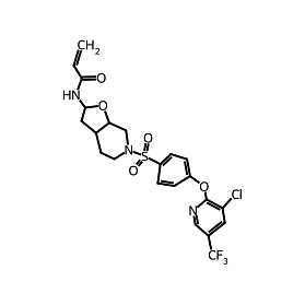 C=CC(=O)NC1CC2CCN(S(=O)(=O)c3ccc(Oc4ncc(C(F)(F)F)cc4Cl)cc3)CC2O1